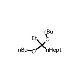 CCCCCCCC(CC)(OCCCC)OCCCC